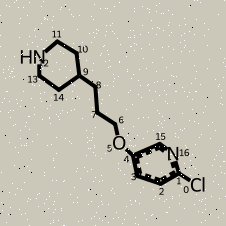 Clc1ccc(OCCCC2CCNCC2)cn1